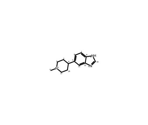 CN1CCC(c2ccc3[nH]cnc3c2)CC1